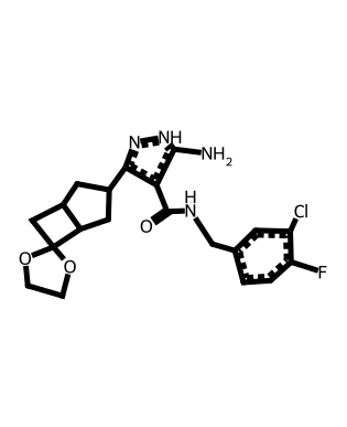 Nc1[nH]nc(C2CC3CC4(OCCO4)C3C2)c1C(=O)NCc1ccc(F)c(Cl)c1